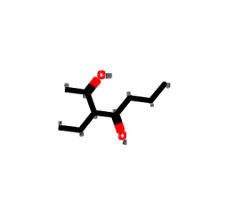 CCCC(=O)C(CC)C(C)=O